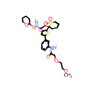 COCCOCC(=O)Nc1cccc(-c2ccc([C@@]3(CC(=O)NOC4CCCCO4)CCCCS3(=O)=O)s2)c1